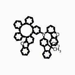 CC1(C)c2ccccc2-c2ccc(N(c3ccc4c5ccccc5c5ccccc5c5ccccc5c5c(ccc6c7ccccc7oc65)c4c3)c3cccc4oc5ccccc5c34)cc21